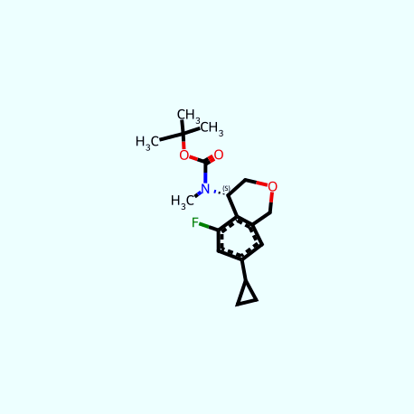 CN(C(=O)OC(C)(C)C)[C@@H]1COCc2cc(C3CC3)cc(F)c21